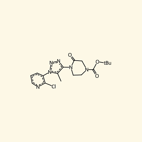 Cc1c(N2CCN(C(=O)OC(C)(C)C)CC2=O)nnn1-c1cccnc1Cl